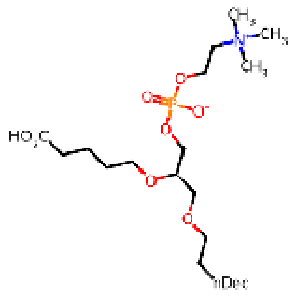 CCCCCCCCCCCCOC[C@H](COP(=O)([O-])OCC[N+](C)(C)C)OCCCCC(=O)O